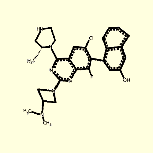 C[C@@H]1CNCCN1c1nc(N2CC(N(C)C)C2)nc2c(F)c(-c3cc(O)cc4ccccc34)c(Cl)cc12